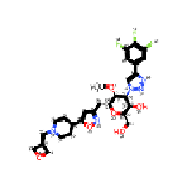 CO[C@@H]1[C@@H](n2cc(-c3cc(F)c(F)c(F)c3)nn2)[C@@H](O)[C@@H](CO)O[C@@H]1Cc1cc(C2CCN(CC3COC3)CC2)on1